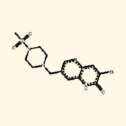 CCc1cc2ncc(CN3CCN(S(C)(=O)=O)CC3)cc2[nH]c1=O